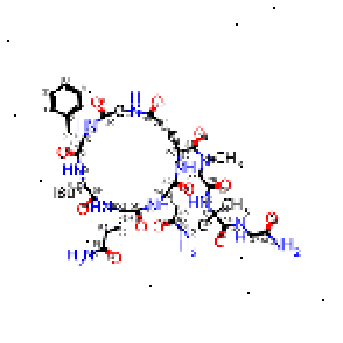 CC[C@H](C)[C@@H]1NC(=O)[C@H](Cc2ccccc2)NC(=O)CNC(=O)CC[C@@H](C(=O)N(C)CC(=O)NC(C)(C)C(=O)NCC(N)=O)NC(=O)[C@H](CC(N)=O)NC(=O)[C@H](CCC(N)=O)NC1=O